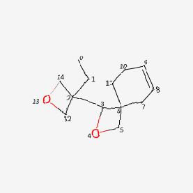 CCC1(C2OCC23CC=CCC3)COC1